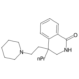 CCCC1(CCN2CCCCC2)CNC(=O)c2ccccc21